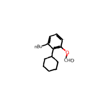 CCCCc1cc[c]c(OC=O)c1C1CCCCC1